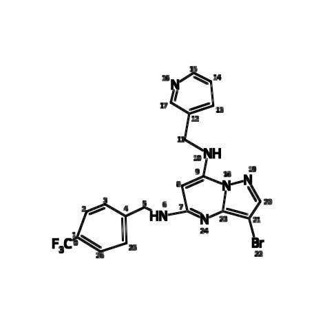 FC(F)(F)c1ccc(CNc2cc(NCc3cccnc3)n3ncc(Br)c3n2)cc1